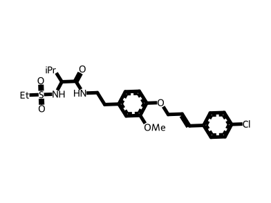 CCS(=O)(=O)NC(C(=O)NCCc1ccc(OCC=Cc2ccc(Cl)cc2)c(OC)c1)C(C)C